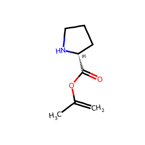 C=C(C)OC(=O)[C@H]1CCCN1